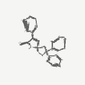 O=C1OC2(C=C1c1ccccc1)CC(c1ccccc1)(c1ccccc1)CO2